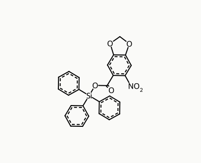 O=C(O[Si](c1ccccc1)(c1ccccc1)c1ccccc1)c1cc2c(cc1[N+](=O)[O-])OCO2